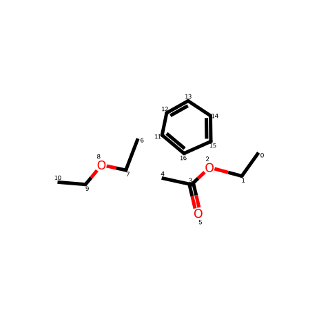 CCOC(C)=O.CCOCC.c1ccccc1